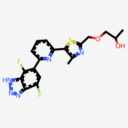 Cc1nc(COCC(C)O)sc1-c1cccc(-c2cc(F)c3nn[nH]c3c2F)n1